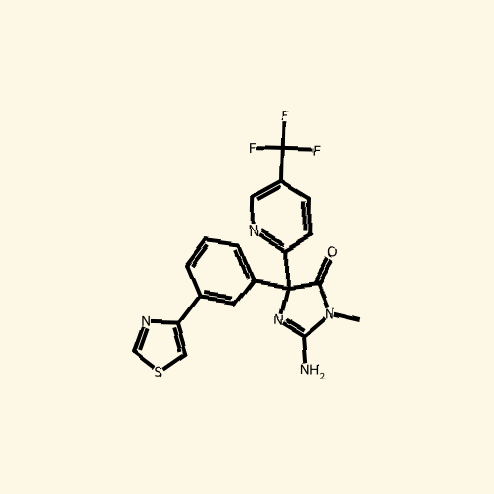 CN1C(=O)C(c2cccc(-c3cscn3)c2)(c2ccc(C(F)(F)F)cn2)N=C1N